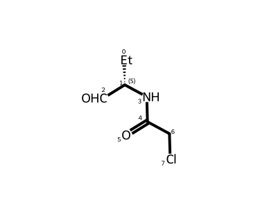 CC[C@@H](C=O)NC(=O)CCl